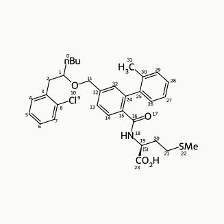 CCCCC(Cc1ccccc1Cl)OCc1ccc(C(=O)N[C@@H](CCSC)C(=O)O)c(-c2ccccc2C)c1